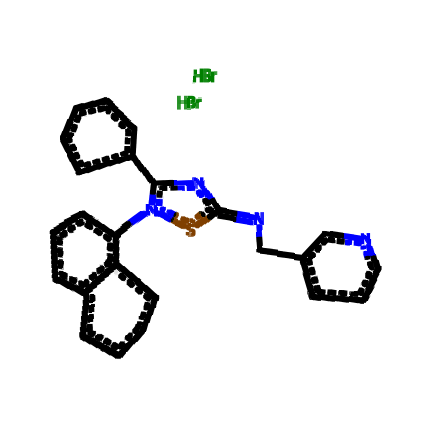 Br.Br.c1ccc(-c2nc(=NCc3cccnc3)sn2-c2cccc3ccccc23)cc1